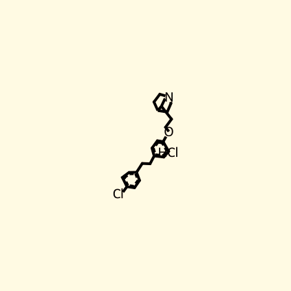 Cl.Clc1ccc(CCc2ccc(OCCC3CN4CCC3CC4)cc2)cc1